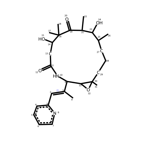 C/C(=C\c1ccccn1)C1NC(=O)CC(O)C(C)(C)C(=O)C(C)C(O)C(C)CCCC2(C)OC12